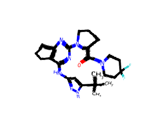 CC(C)(C)c1cc(Nc2nc(N3CCCC3C(=O)N3CCC(F)(F)CC3)nc3c2CCC3)n[nH]1